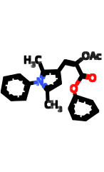 CC(=O)OC(=Cc1cc(C)n(-c2ccccc2)c1C)C(=O)Oc1ccccc1